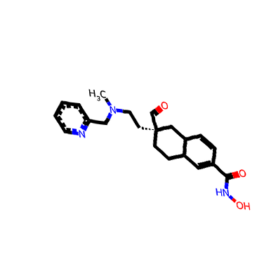 CN(CC[C@@]1(C=O)CCC2C=C(C(=O)NO)C=CC2C1)Cc1ccccn1